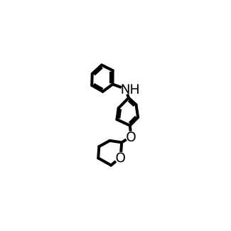 c1ccc(Nc2ccc(OC3CCCCO3)cc2)cc1